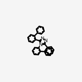 c1ccc(-c2ccccc2-c2nnc(-c3ccccc3)n2-c2ccccc2-c2ccccc2)cc1